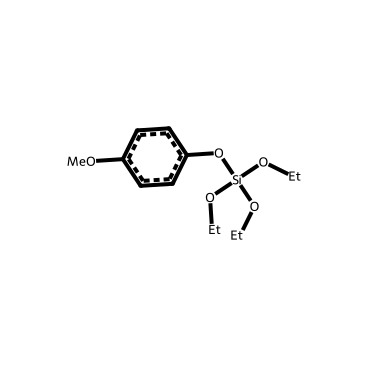 CCO[Si](OCC)(OCC)Oc1ccc(OC)cc1